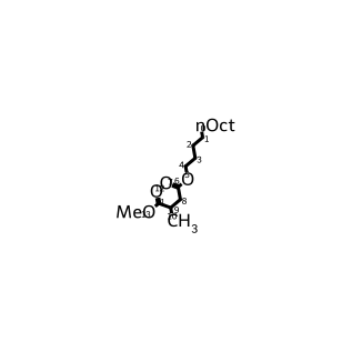 CCCCCCCCCCCCOC(=O)CC(C)C(=O)OC